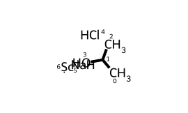 CC(C)O.Cl.[NaH].[Sc]